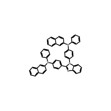 c1ccc(N(c2ccc(-c3nc4ccccc4n3-c3ccc(N(c4ccccc4)c4ccc5ccccc5c4)cc3)cc2)c2ccc3ccccc3c2)cc1